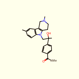 CNC(=O)c1ccc(C(C)(O)Cn2c3c(c4cc(C)ccc42)CN(C)CC3)cc1